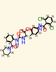 O=C(Nc1ccccc1C(=O)N1CCCCC1)N[C@@H](Cc1ccc(NC(=O)c2c(Cl)cccc2Cl)cc1)C(=O)O